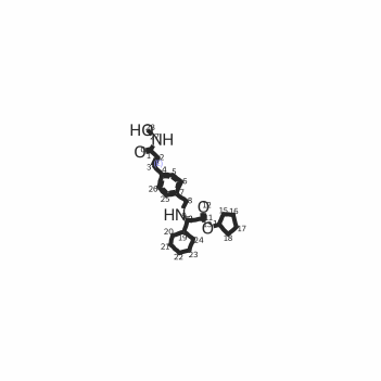 O=C(/C=C/c1ccc(CN[C@H](C(=O)OC2CCCC2)C2CCCCC2)cc1)NO